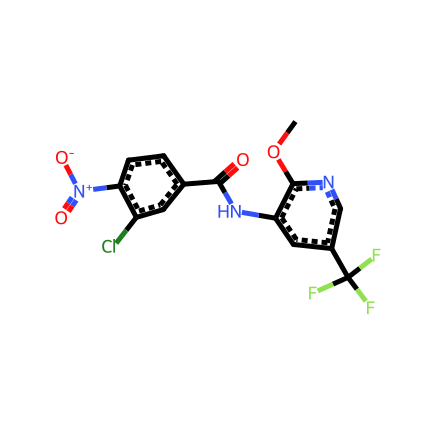 COc1ncc(C(F)(F)F)cc1NC(=O)c1ccc([N+](=O)[O-])c(Cl)c1